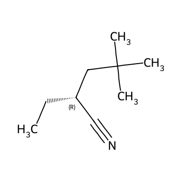 CC[C@@H](C#N)CC(C)(C)C